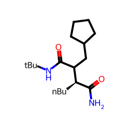 CCCC[C@H](C(N)=O)C(CC1CCCC1)C(=O)NC(C)(C)C